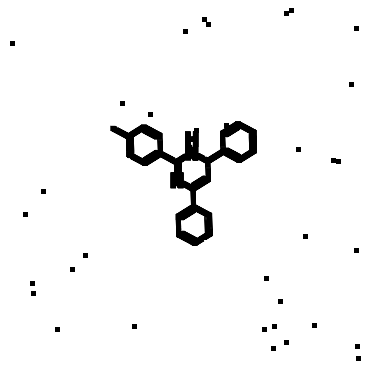 Cc1ccc(C2=NC(c3ccccc3)=CC(c3ccccc3)N2)cc1